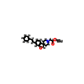 CC(C)(C)OC(=O)CN1CCC2(CC1)COc1cc(/C=C/c3ccccc3)ccc12